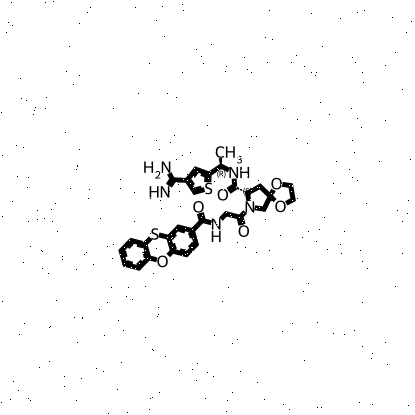 C[C@@H](NC(=O)[C@@H]1CC2(CN1C(=O)CNC(=O)c1ccc3c(c1)Sc1ccccc1O3)OCCO2)c1cc(C(=N)N)cs1